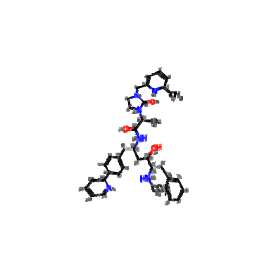 Cc1cccc(CN2CCN([C@H](C(=O)N[C@@H](Cc3ccc(-c4ccccn4)cc3)C[C@@H](O)[C@H](Cc3ccccc3)NC(=O)O)C(C)(C)C)C2=O)n1